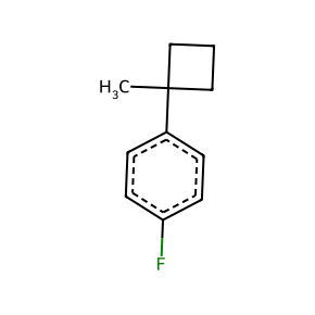 CC1(c2ccc(F)cc2)CCC1